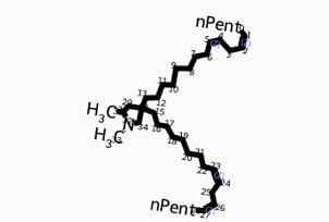 CCCCC/C=C\C/C=C\CCCCCCCCC1(CCCCCCCC/C=C\C/C=C\CCCCC)CC(C)N(C)C1